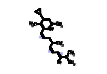 CC/C(=C\C=C/C(C)C/C=C\C1=C(C)C(C2CC2)=CN(C)N1)N(C)C